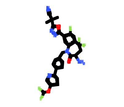 CC(C)(C#N)c1nnc(-c2cc3c(cc2F)C(F)(F)CC(N)C(=O)N3Cc2ccc(-c3ccc(OC(F)F)cn3)cc2)o1